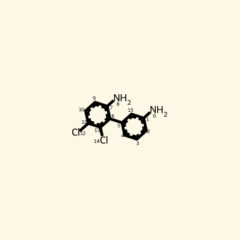 Nc1cccc(-c2c(N)ccc(Cl)c2Cl)c1